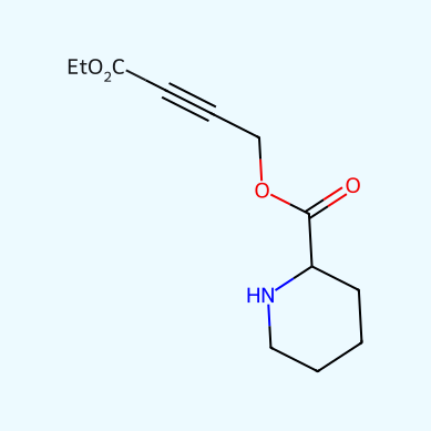 CCOC(=O)C#CCOC(=O)C1CCCCN1